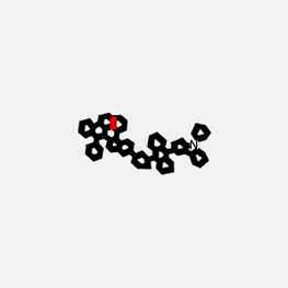 c1ccc(-c2c(-c3c(-c4ccccc4)c4ccccc4c4ccccc34)ccc3cc(-c4cccc(-c5c6ccccc6c(-c6ccc7c(c6)c6ccccc6n7-c6ccccc6)c6ccccc56)c4)ccc23)cc1